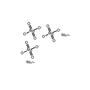 [Mn+3].[Mn+3].[O]=[Mn](=[O])([O-])[O-].[O]=[Mn](=[O])([O-])[O-].[O]=[Mn](=[O])([O-])[O-]